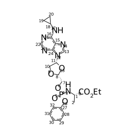 CCOC(=O)[C@H](C)NP(=O)(OC[C@@H]1OC[C@H](n2cnc3c(NC4CC4)ncnc32)O1)Oc1ccccc1